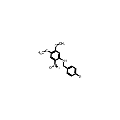 COc1cc(NCc2ccc(Br)cc2)c([N+](=O)[O-])cc1OC